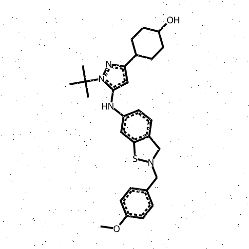 COc1ccc(CN2Cc3ccc(Nc4cc(C5CCC(O)CC5)nn4C(C)(C)C)cc3S2)cc1